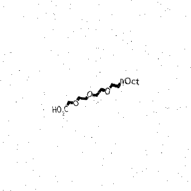 CCCCCCCCCCOCCOCCOCC(=O)O